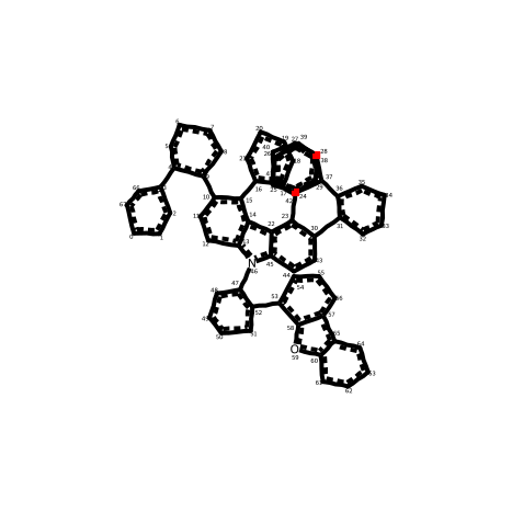 c1ccc(-c2ccccc2-c2ccc3c(c2-c2ccccc2)c2c(-c4ccccc4)c(-c4ccccc4-c4ccccc4)ccc2n3-c2ccccc2-c2cccc3c2oc2ccccc23)cc1